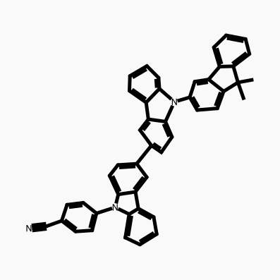 CC1(C)c2ccccc2-c2cc(-n3c4ccccc4c4cc(-c5ccc6c(c5)c5ccccc5n6-c5ccc(C#N)cc5)ccc43)ccc21